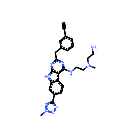 C#Cc1cccc(Cc2nc(NCCN(C)CCN)c3c(n2)[nH]c2cc(-c4nnn(C)n4)ccc23)c1